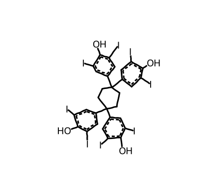 Oc1c(I)cc(C2(c3cc(I)c(O)c(I)c3)CCC(c3cc(I)c(O)c(I)c3)(c3cc(I)c(O)c(I)c3)CC2)cc1I